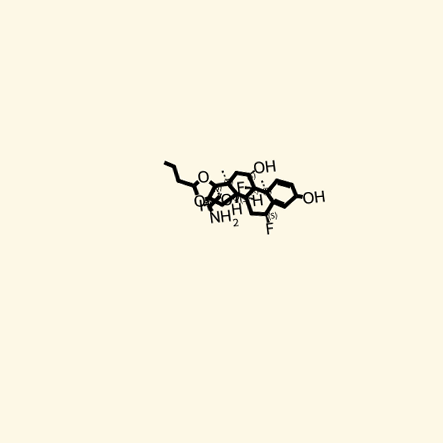 CCCC1O[C@@H]2C[C@H]3[C@@H]4C[C@H](F)C5=CC(O)C=C[C@]5(C)[C@@]4(F)[C@@H](O)C[C@]3(C)[C@]2(C(=O)CN)O1